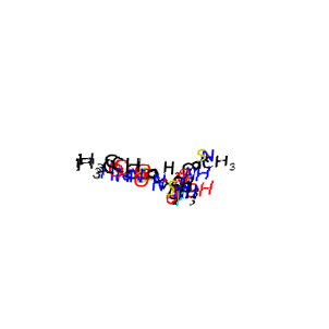 Cc1ncsc1-c1ccc([C@H](C)NC(=O)[C@@H]2C[C@@H](O)CN2C(=O)[C@@H](NC(=O)C2(F)CC2)C(C)(C)SCC2CCN(Cc3cccc(S(=O)(=O)N4CCC(NC(=O)OC(C)(C)C)CC4)c3)CC2)cc1